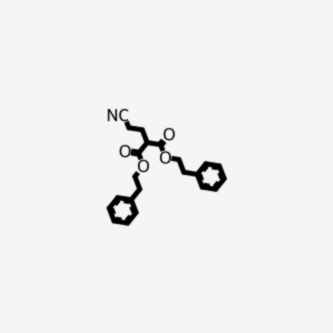 N#CCCC(C(=O)OCCc1ccccc1)C(=O)OCCc1ccccc1